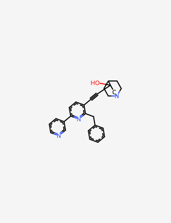 OC1(C#Cc2ccc(-c3cccnc3)nc2Cc2ccccc2)CN2CCC1CC2